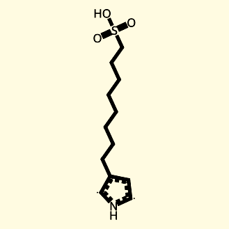 O=S(=O)(O)CCCCCCCCc1[c][nH][c]c1